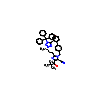 CCCCc1nc(C(=O)C(C)(C)C)c(C#N)n1Cc1ccc(-c2ccccc2-c2nnnn2C(c2ccccc2)(c2ccccc2)c2ccccc2)cc1